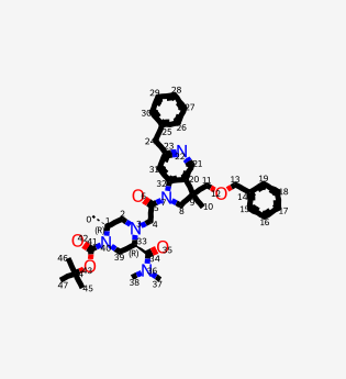 C[C@@H]1CN(CC(=O)N2CC(C)(COCc3ccccc3)c3cnc(Cc4ccccc4)cc32)[C@@H](C(=O)N(C)C)CN1C(=O)OC(C)(C)C